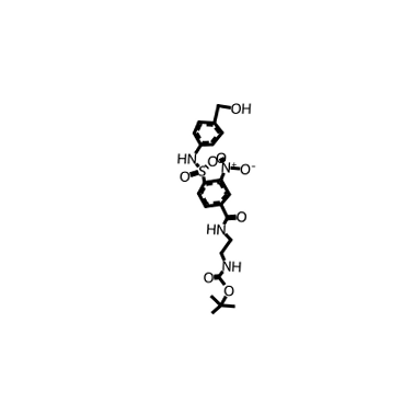 CC(C)(C)OC(=O)NCCNC(=O)c1ccc(S(=O)(=O)Nc2ccc(CO)cc2)c([N+](=O)[O-])c1